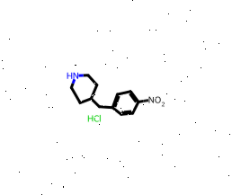 Cl.O=[N+]([O-])c1ccc(CC2CCNCC2)cc1